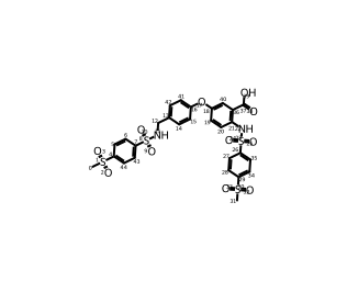 CS(=O)(=O)c1ccc(S(=O)(=O)NCc2ccc(Oc3ccc(NS(=O)(=O)c4ccc(S(C)(=O)=O)cc4)c(C(=O)O)c3)cc2)cc1